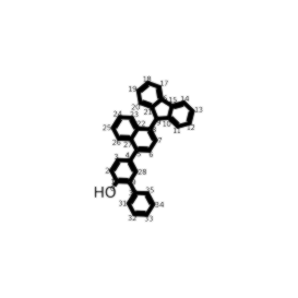 Oc1ccc(-c2ccc(C3c4ccccc4-c4ccccc43)c3ccccc23)cc1-c1ccccc1